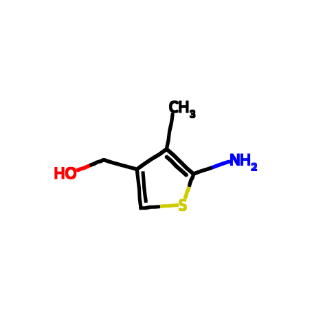 Cc1c(CO)csc1N